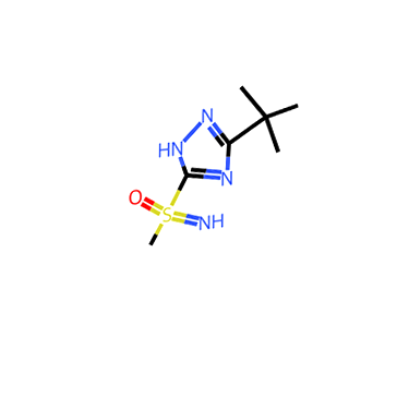 CC(C)(C)c1n[nH]c(S(C)(=N)=O)n1